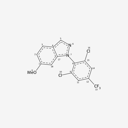 COc1ccc2cnn(-c3c(Cl)cc(C(F)(F)F)cc3Cl)c2c1